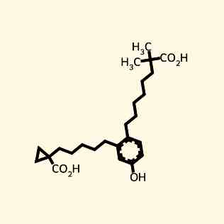 CC(C)(CCCCCCc1ccc(O)cc1CCCCCC1(C(=O)O)CC1)C(=O)O